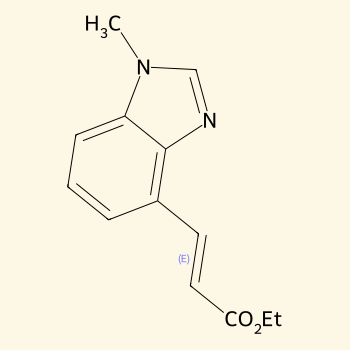 CCOC(=O)/C=C/c1cccc2c1ncn2C